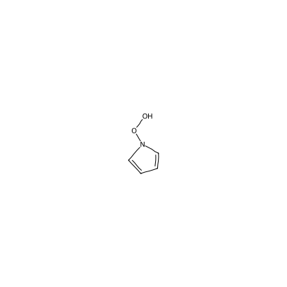 OOn1cccc1